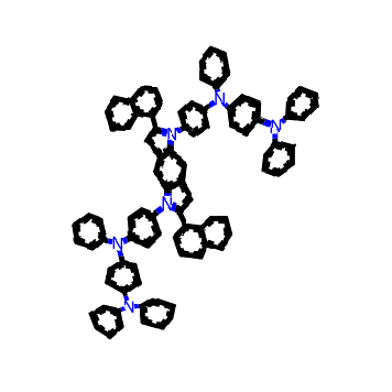 c1ccc(N(c2ccccc2)c2ccc(N(c3ccccc3)c3ccc(-n4c(-c5cccc6ccccc56)cc5cc6c(cc(-c7cccc8ccccc78)n6-c6ccc(N(c7ccccc7)c7ccc(N(c8ccccc8)c8ccccc8)cc7)cc6)cc54)cc3)cc2)cc1